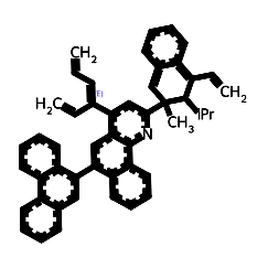 C=C/C=C(\C=C)c1cc(C2(C)C=c3ccccc3=C(C=C)C2C(C)C)nc2c1cc(-c1cc3ccccc3c3ccccc13)c1ccccc12